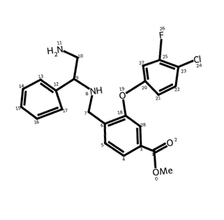 COC(=O)c1ccc(CNC(CN)c2ccccc2)c(Oc2ccc(Cl)c(F)c2)c1